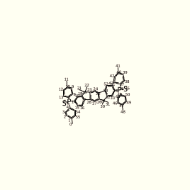 Cc1ccc(P(=S)(c2ccc(C)cc2)c2ccc3c(c2)C(C)(C)c2cc4c(cc2-3)C(C)(C)c2cc(P(=S)(c3ccc(C)cc3)c3ccc(C)cc3)ccc2-4)cc1